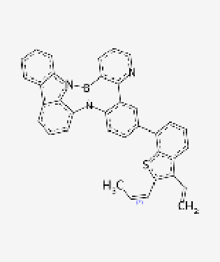 C=Cc1c(/C=C\C)sc2c(-c3ccc4c(c3)-c3ncccc3B3N4c4cccc5c6ccccc6n3c45)cccc12